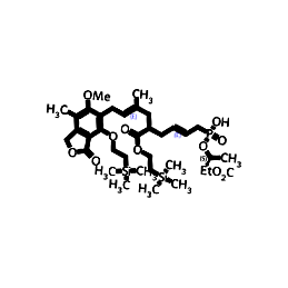 CCOC(=O)[C@H](C)OP(=O)(O)C/C=C/CC(C/C(C)=C/Cc1c(OC)c(C)c2c(c1OCC[Si](C)(C)C)C(=O)OC2)C(=O)OCC[Si](C)(C)C